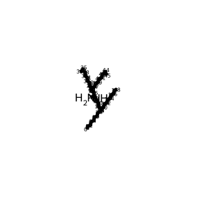 CCCCCCCCCN(CCCCCCCCC)CCCNC(N)CCN(CCCCCCC(C)C)CCCCCCC(C)C